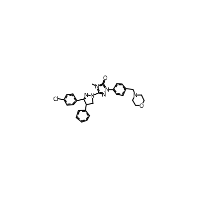 Cn1c(N2CC(c3ccccc3)C(c3ccc(Cl)cc3)=N2)nn(-c2ccc(CN3CCOCC3)cc2)c1=O